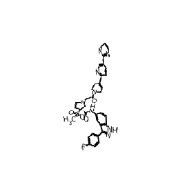 CS(=O)(=O)[C@@]1(C(=O)Nc2ccc3[nH]nc(-c4ccc(F)cc4)c3c2)CCN(CC(=O)N2CC=C(c3ccc(-c4ncccn4)cn3)CC2)C1